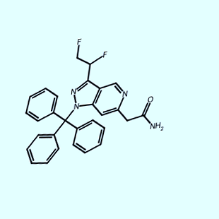 NC(=O)Cc1cc2c(cn1)c(C(F)CF)nn2C(c1ccccc1)(c1ccccc1)c1ccccc1